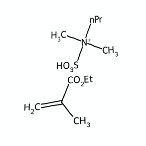 C=C(C)C(=O)OCC.CCC[N+](C)(C)S(=O)(=O)O